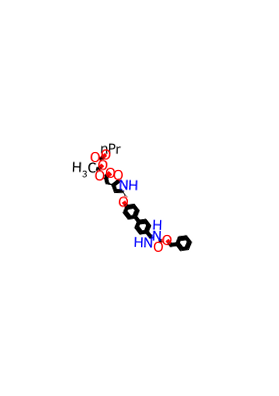 CCCOC(=O)OC(C)OC(=O)C[C@@H]1C[C@@H](COc2ccc(-c3ccc(C(=N)NC(=O)OCc4ccccc4)cc3)cc2)NC1=O